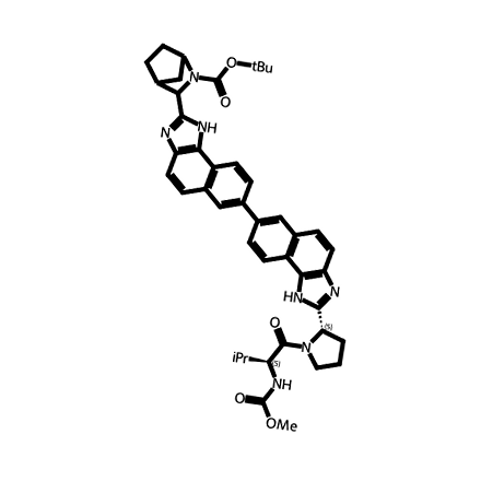 COC(=O)N[C@H](C(=O)N1CCC[C@H]1c1nc2ccc3cc(-c4ccc5c(ccc6nc(C7C8CCC(C8)N7C(=O)OC(C)(C)C)[nH]c65)c4)ccc3c2[nH]1)C(C)C